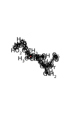 Cc1c(-c2ccc(N3CCc4cccc(C(=O)Nc5nc6ccccc6s5)c4C3)nc2C(=O)O)cnn1CC12CC3(C)CC(C)(C1)CC(OCCN(CCCP(=O)(O)O)C(=O)OCc1ccc(NC(=O)[C@H](CCCNC(N)=O)NC(=O)[C@@H](NC(=O)CCCCCN4C(=O)C=CC4=O)C(C)C)cc1)(C3)C2